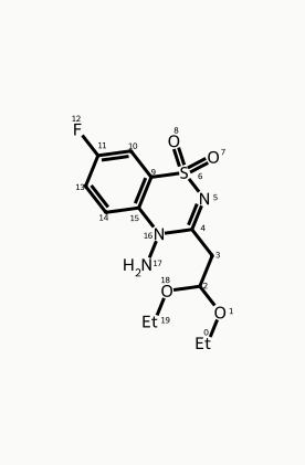 CCOC(CC1=NS(=O)(=O)c2cc(F)ccc2N1N)OCC